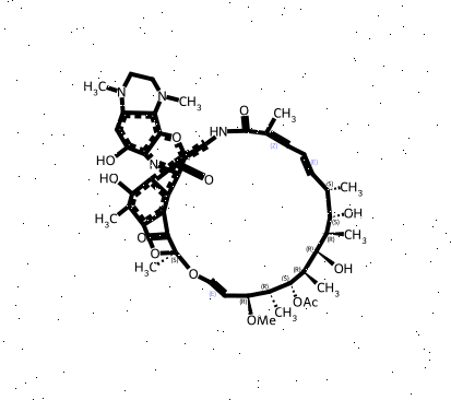 CO[C@H]1/C=C/O[C@@]2(C)Oc3c(C)c(O)c4c(=O)c(c5oc6c7c(cc(O)c6nc-5c4c3C2=O)N(C)CCN7C)NC(=O)/C(C)=C\C=C\[C@H](C)[C@H](O)[C@@H](C)[C@@H](O)[C@@H](C)[C@H](OC(C)=O)[C@@H]1C